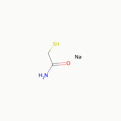 NC(=O)CS.[Na]